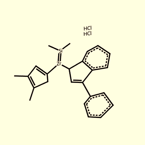 CC1=C(C)C[C]([Zr]([CH]2C=C(c3ccccc3)c3ccccc32)=[Si](C)C)=C1.Cl.Cl